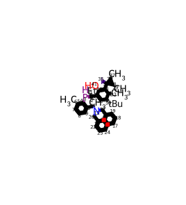 CCC(C)(Pc1c(C)cccc1CN(Cc1ccccc1)Cc1ccccc1)C1=CC(C(C)(C)C)C(C)C(C2(I)C(C)[C@H]2C)=C1O